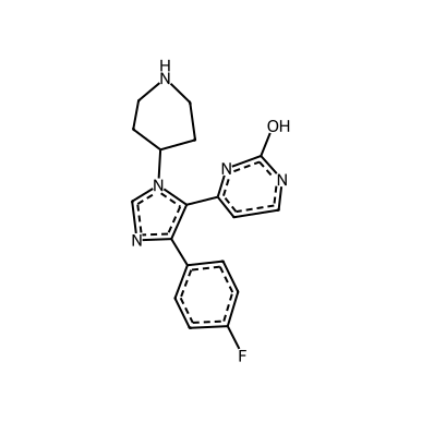 Oc1nccc(-c2c(-c3ccc(F)cc3)ncn2C2CCNCC2)n1